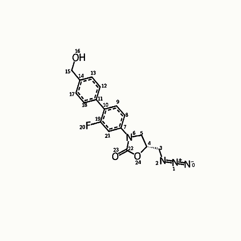 [N-]=[N+]=NC[C@H]1CN(c2ccc(-c3ccc(CO)cc3)c(F)c2)C(=O)O1